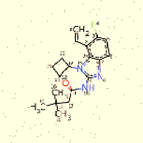 C=Cc1c(F)ccc2nc(NC(=O)CC(C)(C)C)n(C3CCC3)c12